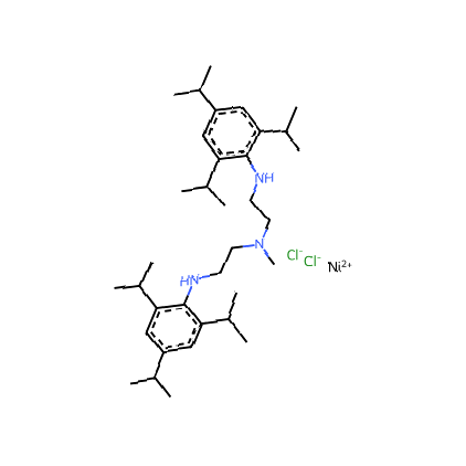 CC(C)c1cc(C(C)C)c(NCCN(C)CCNc2c(C(C)C)cc(C(C)C)cc2C(C)C)c(C(C)C)c1.[Cl-].[Cl-].[Ni+2]